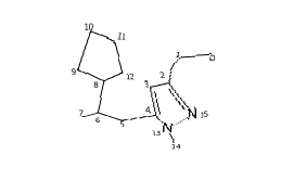 CCc1cc(CC(C)C2CCCC2)n(C)n1